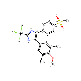 COc1c(C)cc(-c2[nH]c(C(F)(F)F)nc2-c2ccc(S(C)(=O)=O)cc2)cc1C